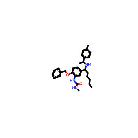 CCCCCC(NC(C)c1ccc(C)cc1)c1ccc(OCc2ccccc2)c(NC(=O)NC)c1